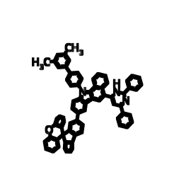 Cc1cc(C)cc(-c2ccc(-n3c4ccc(-c5ccc6c(c5)C5(c7ccccc7Oc7ccccc75)c5ccccc5-6)cc4c4cc(C5=CC(c6ccccc6)=NC(c6ccccc6)N5)c5ccccc5c43)cc2)c1